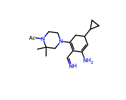 CC(=O)N1CCN(C2=C(C=N)C(N)=CC(C3CC3)C2)CC1(C)C